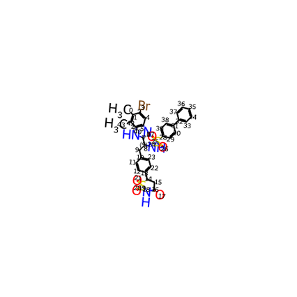 Cc1c(Br)cc2nc([C@H](Cc3ccc(C4CC(=O)NS4(=O)=O)cc3)NS(=O)(=O)c3ccc(-c4ccccc4)cc3)[nH]c2c1C